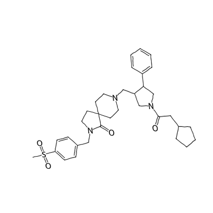 CS(=O)(=O)c1ccc(CN2CCC3(CCN(CC4CN(C(=O)CC5CCCC5)CC4c4ccccc4)CC3)C2=O)cc1